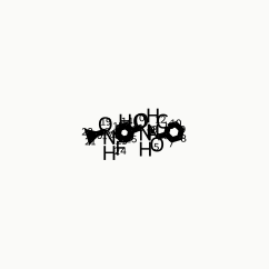 O=C(NNC(=O)C1CCCCC1C(=O)O)c1ccc(NC(=O)C2CC2)c(F)c1